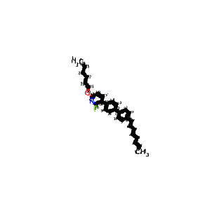 CCCCCCCCc1ccc(-c2ccc(-c3ccc(OCCCCCC)nc3F)cc2)cc1